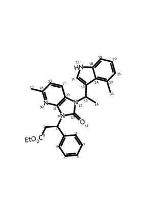 CCOC(=O)C[C@H](c1ccccc1)n1c(=O)n(C(C)c2c[nH]c3cccc(C)c23)c2ccc(C)nc21